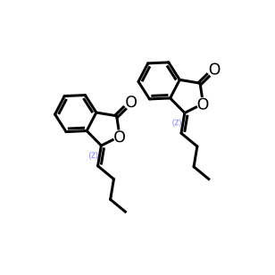 CCC/C=C1\OC(=O)c2ccccc21.CCC/C=C1\OC(=O)c2ccccc21